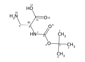 CC(C)(C)OC(=O)N[C@H](CN)C(=O)O